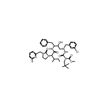 CCC(C)C(C(=O)NC(Cc1ccccc1)C(O)CN(Cc1cccc(Cl)c1)NC(=O)N(CC(C)(C)C)C(=O)OC)N1CCN(Cc2cccc(C)n2)C1=O